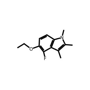 CCOc1ccc2c(c(C)c(C)n2C)c1F